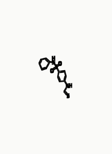 O=S(=O)(Nc1ccccc1)c1ccc(NC=S)cc1